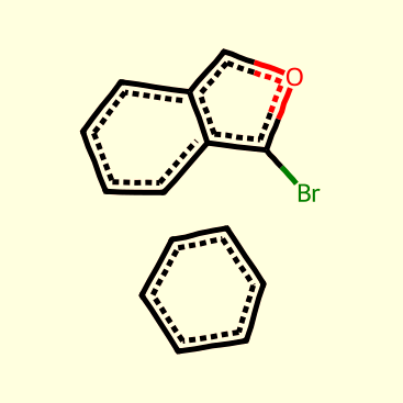 Brc1occ2ccccc12.c1ccccc1